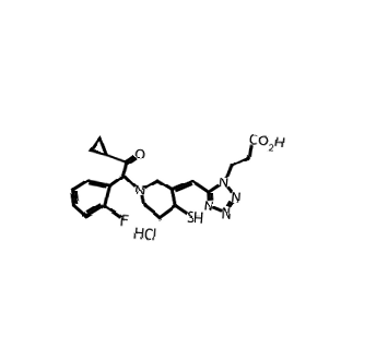 Cl.O=C(O)CCn1nnnc1C=C1CN(C(C(=O)C2CC2)c2ccccc2F)CCC1S